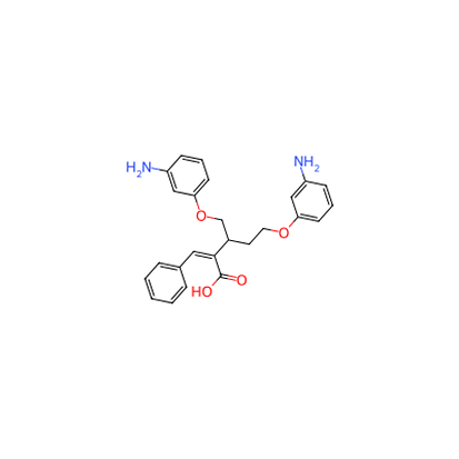 Nc1cccc(OCCC(COc2cccc(N)c2)C(=Cc2ccccc2)C(=O)O)c1